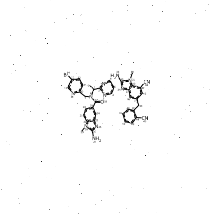 CC(c1ncccn1)N(Cc1ccc(Br)cn1)C(=O)c1ccc2c(c1)nc(N)n2C.Cn1c(N)nc2cc(Cc3ccccc3C#N)cc(C#N)c21